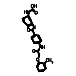 Cc1ccccc1OCC(=O)Nc1ccc(-c2nc3cc(NC(=O)O)ccc3o2)cc1